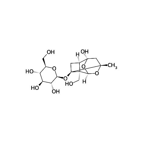 C[C@@]12C[C@@]3(O)O[C@@H](O1)[C@]1(CO)[C@H]3C[C@@]12O[C@@H]1O[C@H](CO)[C@@H](O)[C@H](O)[C@H]1O